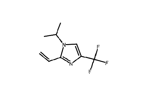 C=Cc1nc(C(F)(F)F)cn1C(C)C